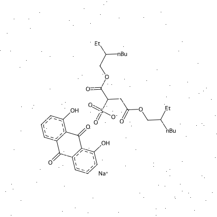 CCCCC(CC)COC(=O)CC(C(=O)OCC(CC)CCCC)S(=O)(=O)[O-].O=C1c2cccc(O)c2C(=O)c2c(O)cccc21.[Na+]